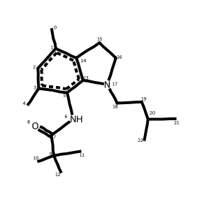 Cc1cc(C)c(NC(=O)C(C)(C)C)c2c1CCN2CCC(C)C